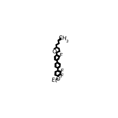 C/C=C/CCC1CCC(c2ccc(-c3ccc(-c4ccc(OCC)c(F)c4F)cc3)cc2F)OC1